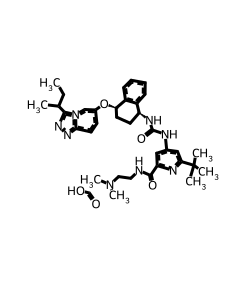 CCC(C)c1nnc2ccc(O[C@@H]3CC[C@H](NC(=O)Nc4cc(C(=O)NCCN(C)C)nc(C(C)(C)C)c4)c4ccccc43)cn12.O=CO